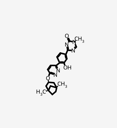 Cn1cnc(-c2ccc(-c3ccc(O[C@H]4C[C@]5(C)CC[C@](C)(C4)C5)nn3)c(O)c2)nc1=O